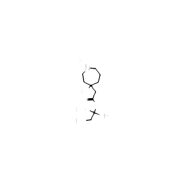 CCC(C)(C)OC(=O)CC1(O)CCCN(Br)CC1